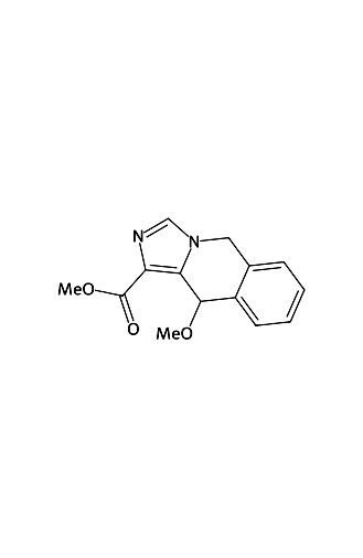 COC(=O)c1ncn2c1C(OC)c1ccccc1C2